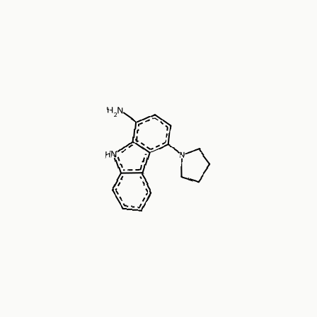 Nc1ccc(N2CCCC2)c2c1[nH]c1ccccc12